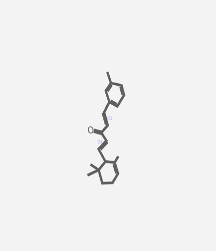 CC1=CCCC(C)(C)C1/C=C/C(=O)/C=C/c1cccc(C)c1